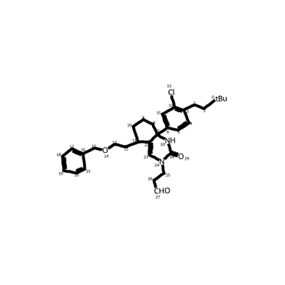 CC(C)(C)CCc1ccc(C23CCCC(CCOCc4ccccc4)C2=CN(CCC=O)C(=O)N3)cc1Cl